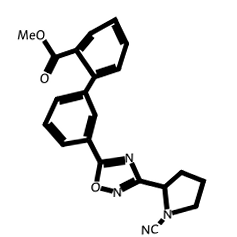 COC(=O)c1ccccc1-c1cccc(-c2nc(C3CCCN3C#N)no2)c1